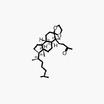 CC(=O)CC[C@]1(C)[C@H]2CC[C@]3(C)[C@@H]([C@H](C)CCCC(C)C)CC[C@H]3[C@@H]2CCC12OCCO2